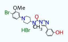 Br.COc1cc(N2CCC(N(C)C(=O)n3cnc(-c4cccc(O)c4)c3)CC2)ccc1Br